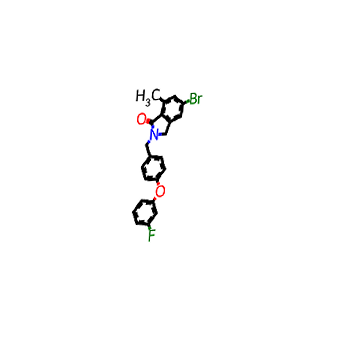 Cc1cc(Br)cc2c1C(=O)N(Cc1ccc(Oc3cccc(F)c3)cc1)C2